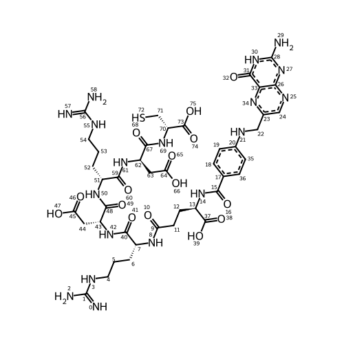 N=C(N)NCCC[C@@H](NC(=O)CC[C@@H](NC(=O)c1ccc(NCc2cnc3nc(N)[nH]c(=O)c3n2)cc1)C(=O)O)C(=O)N[C@H](CC(=O)O)C(=O)N[C@H](CCCNC(=N)N)C(=O)N[C@H](CC(=O)O)C(=O)N[C@H](CS)C(=O)O